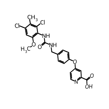 COc1cc(Cl)c(C)c(Cl)c1NC(=O)NCc1ccc(Oc2ccnc(C(=O)O)c2)cc1